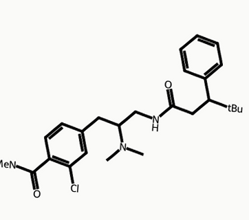 CNC(=O)c1ccc(CC(CNC(=O)CC(c2ccccc2)C(C)(C)C)N(C)C)cc1Cl